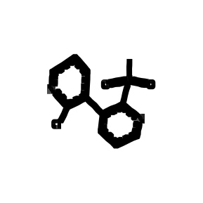 CS(=O)(=O)c1ncccc1-c1cccnc1Cl